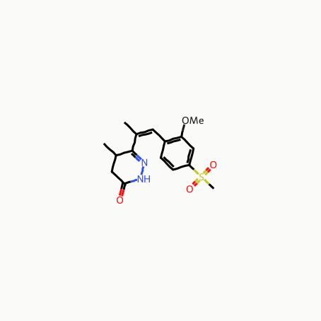 COc1cc(S(C)(=O)=O)ccc1C=C(C)C1=NNC(=O)CC1C